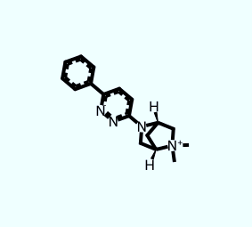 C[N+]1(C)C[C@@H]2C[C@H]1CN2c1ccc(-c2ccccc2)nn1